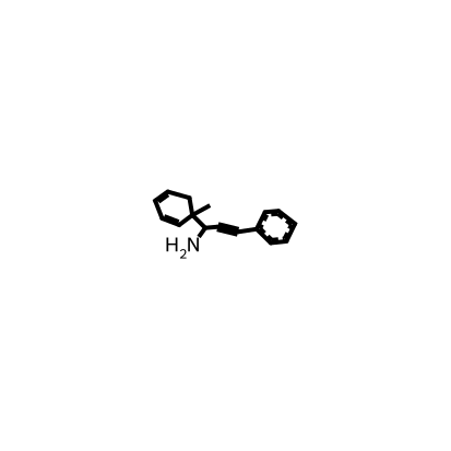 CC1(C(N)C#Cc2ccccc2)C=CC=CC1